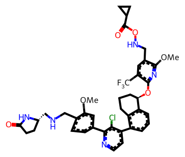 COc1cc(-c2nccc(-c3cccc4c3CCC[C@H]4Oc3nc(OC)c(CNOC(=O)C4CC4)cc3C(F)(F)F)c2Cl)ccc1CNC[C@@H]1CCC(=O)N1